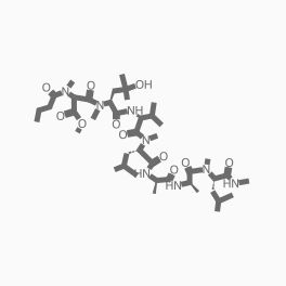 CCCC(=O)N(C)C(C(=O)OC)C(=O)N(C)[C@@H](CC(C)(C)O)C(=O)N[C@H](C(=O)N(C)[C@@H](CC(C)C)C(=O)N[C@H](C)C(=O)N[C@H](C)C(=O)N(C)[C@@H](CC(C)C)C(=O)NC)C(C)C